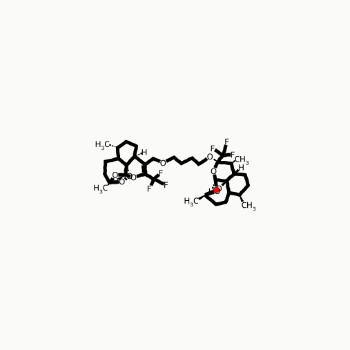 C[C@@H]1CC[C@H]2C(COCCCCO[C@@]3(C(F)(F)F)O[C@@H]4O[C@]5(C)CCC6[C@H](C)CC[C@@H]([C@H]3C)[C@]64OO5)=C(C(F)(F)F)O[C@@H]3O[C@]4(C)CCC1[C@]32OO4